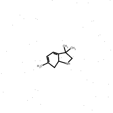 CC1=CC=C2C(C1)NCC2(C)C